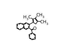 CC1=C(C)C(C)=C(c2cc3ccccc3cc2C(=O)c2ccccc2)C1